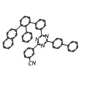 N#Cc1cccc(-c2nc(-c3ccc(-c4ccccc4)cc3)nc(-c3cccc(-c4cccc(-c5ccc6ccccc6c5)c4-c4ccccc4)c3)n2)c1